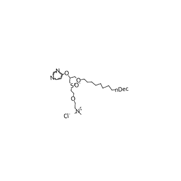 CCCCCCCCCCCCCCCCCCOCC(C[S+]([O-])CCOCC[N+](C)(C)C)Oc1ccncn1.[Cl-]